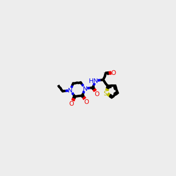 CCN1CCN(C(=O)NC([C]=O)c2cccs2)C(=O)C1=O